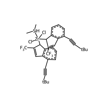 C[SiH](C)[Zr]([Cl])([Cl])([CH]1C(C(F)(F)F)=Cc2c(C#CC(C)(C)C)cccc21)[CH]1C(C(F)(F)F)=Cc2c(C#CC(C)(C)C)cccc21